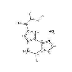 CCN(C)C(=O)c1cnc(-n2ncnc2[C@H](C)N)s1.Cl